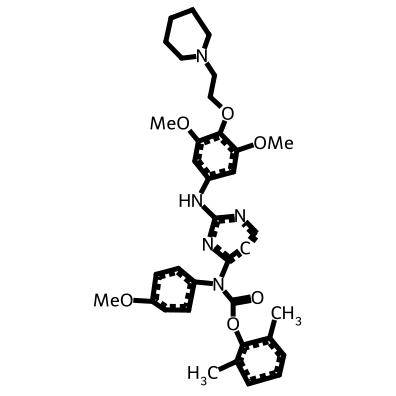 COc1ccc(N(C(=O)Oc2c(C)cccc2C)c2ccnc(Nc3cc(OC)c(OCCN4CCCCC4)c(OC)c3)n2)cc1